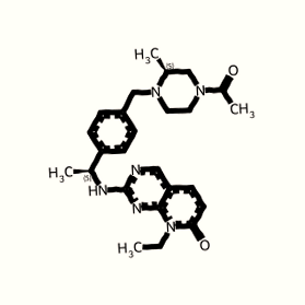 CCn1c(=O)ccc2cnc(N[C@@H](C)c3ccc(CN4CCN(C(C)=O)C[C@@H]4C)cc3)nc21